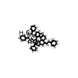 CN1C(C2NC(C3=CC=CCC3)=CC=C2c2cccc3sc4c(c23)C2=C(CC4)/C(=C\CC3=CCCC=C3)CC3CC=CC=C23)=NC(C2=CC=CCC2)N(C)C1C1C=CCCC1